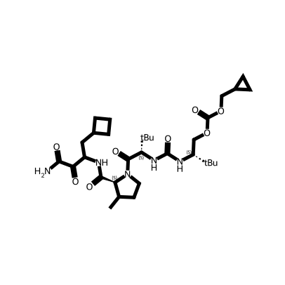 CC1CCN(C(=O)[C@@H](NC(=O)N[C@H](COC(=O)OCC2CC2)C(C)(C)C)C(C)(C)C)[C@@H]1C(=O)NC(CC1CCC1)C(=O)C(N)=O